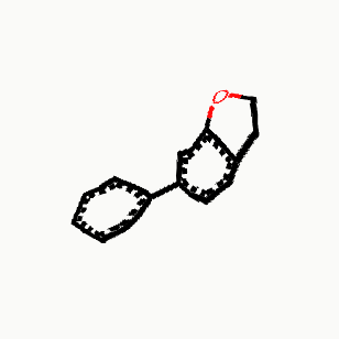 c1ccc(-c2ccc3c(c2)OCC3)cc1